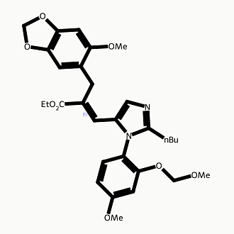 CCCCc1ncc(/C=C(\Cc2cc3c(cc2OC)OCO3)C(=O)OCC)n1-c1ccc(OC)cc1OCOC